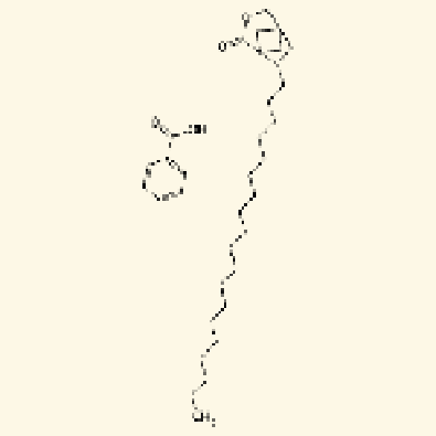 CCCCCCCCCCCCCCCCCCCC1CC23COC(=O)C1(C2)C3.O=C(O)c1ccccc1